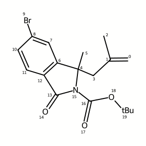 C=C(C)CC1(C)c2cc(Br)ccc2C(=O)N1C(=O)OC(C)(C)C